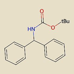 CC(C)(C)OC(=O)NC(c1ccccc1)c1ccccc1